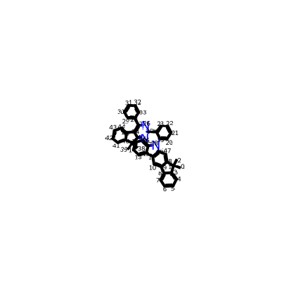 CC1(C)c2ccccc2-c2cc3c4ccccc4n(-c4ccccc4-c4nc(-c5ccccc5)c5c(n4)C(C)(C)c4ccccc4-5)c3cc21